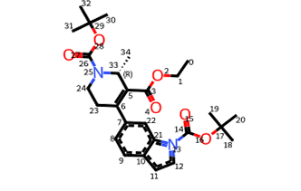 CCOC(=O)C1=C(c2ccc3ccn(C(=O)OC(C)(C)C)c3c2)CCN(C(=O)OC(C)(C)C)[C@@H]1C